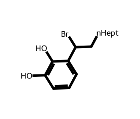 CCCCCCCCC(Br)c1cccc(O)c1O